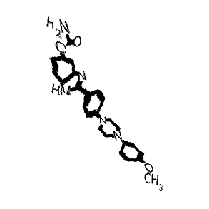 COc1ccc(N2CCN(c3ccc(-c4nc5cc(OC(N)=O)ccc5[nH]4)cc3)CC2)cc1